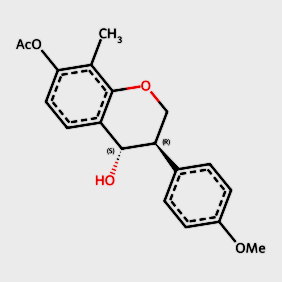 COc1ccc([C@@H]2COc3c(ccc(OC(C)=O)c3C)[C@H]2O)cc1